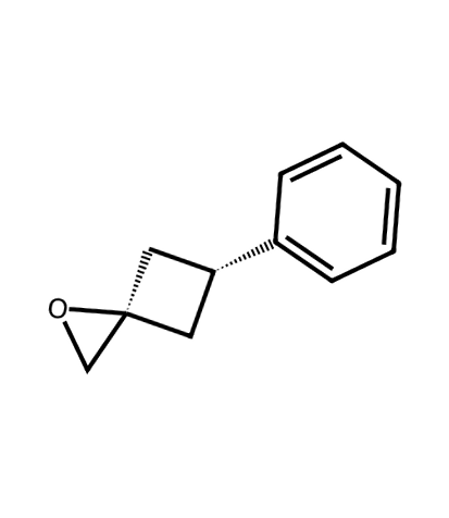 c1ccc([C@H]2C[C@@]3(CO3)C2)cc1